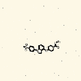 CC(C)OC(=O)N1CCC(Oc2cccc3c2CCN3c2ccc(S(C)(=O)=O)cc2)CC1